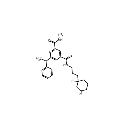 CNC(=O)c1cc(C(=O)NCCCC2(F)CCCNC2)cc(C(C)c2ccccc2)n1